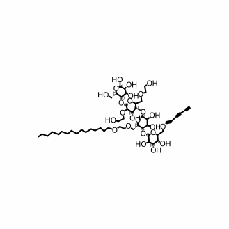 C#CC#CC#COCC1O[C@@H](O[C@H]2C(O)C(O)[C@H](O[C@@H]3C(COCCO)O[C@@H](O[C@H]4C(O)C(O)[C@H](O)O[C@H]4CO)C(OCCO)[C@H]3O)O[C@H]2COCCOCCCCCCCCCCCCCCCC)C(O)[C@@H](O)[C@@H]1O